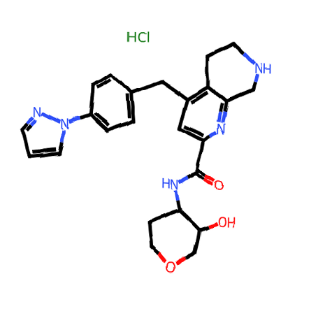 Cl.O=C(NC1CCOCC1O)c1cc(Cc2ccc(-n3cccn3)cc2)c2c(n1)CNCC2